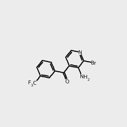 Nc1c(C(=O)c2cccc(C(F)(F)F)c2)ccnc1Br